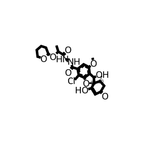 COc1cc(C(=O)NNC(=O)C(C)OC2CCCCO2)c(Cl)c2c1C(O)[C@@]1(O2)C(O)=CC(=O)C[C@H]1C